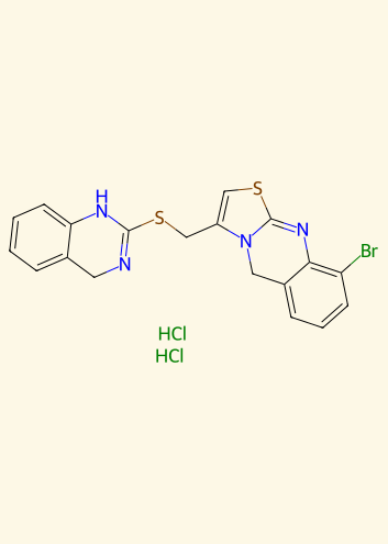 Brc1cccc2c1N=C1SC=C(CSC3=NCc4ccccc4N3)N1C2.Cl.Cl